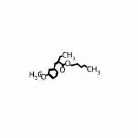 CCCCCOC(=O)C(=Cc1cccc(OC)c1)CC